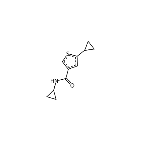 O=C(NC1CC1)c1csc(C2CC2)c1